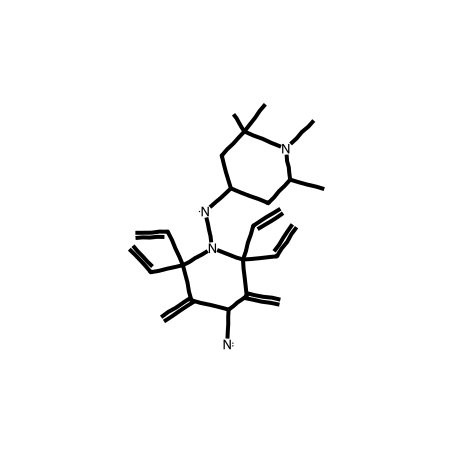 C=CC1(C=C)C(=C)C([N])C(=C)C(C=C)(C=C)N1[N]C1CC(C)N(C)C(C)(C)C1